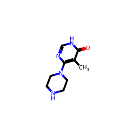 Cc1c(N2CCNCC2)nc[nH]c1=O